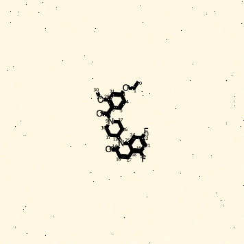 CCOc1ccc(C(=O)N2CCC(n3c(=O)ccc4c(F)cc(F)cc43)CC2)c(OC)c1